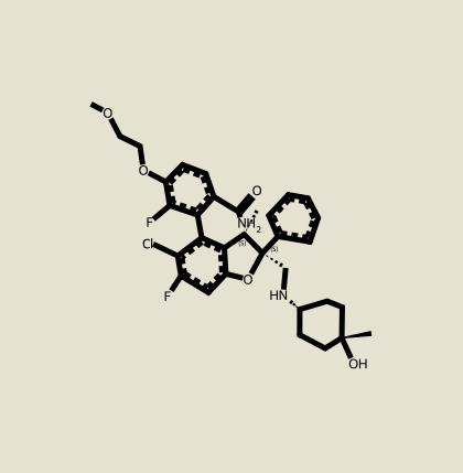 COCCOc1ccc(C(N)=O)c(-c2c(Cl)c(F)cc3c2[C@H](C)[C@@](CN[C@H]2CC[C@@](C)(O)CC2)(c2ccccc2)O3)c1F